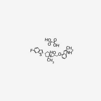 Cc1cc2c(OC[C@@H](O)CN3CC[C@@H](c4cc5ccc(F)cc5s4)C[C@@H]3C)cccc2[nH]1.O=C(O)C(=O)O